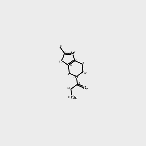 Cc1nc2c(s1)CN(C(=O)CC(C)(C)C)CC2